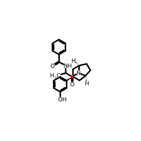 CC(NC(=O)c1ccccc1)C(=O)N1[C@@H]2CC[C@H]1C[C@@H](c1cccc(O)c1)C2